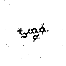 COc1cc(OC)c(F)c(N(CC2CCC(=O)N2)c2ccc3ncc(C4=CN(CC(C)(C)O)C(C)=C=C4)nc3n2)c1